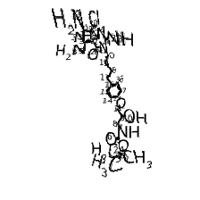 CC(C)(C)OC(=O)NCC(O)COc1ccc(CCCCN(C(=N)N)C(=O)c2nc(Cl)c(N)nc2N)cc1